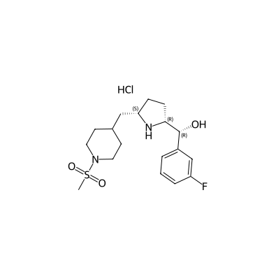 CS(=O)(=O)N1CCC(C[C@@H]2CC[C@H]([C@H](O)c3cccc(F)c3)N2)CC1.Cl